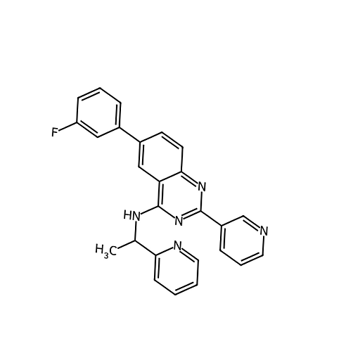 CC(Nc1nc(-c2cccnc2)nc2ccc(-c3cccc(F)c3)cc12)c1ccccn1